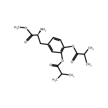 COC(=O)[C@@H](N)Cc1ccc(OC(=O)C(C)C)c(OC(=O)C(C)C)c1